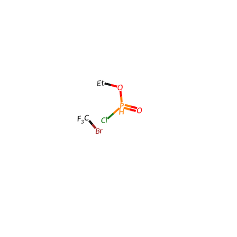 CCO[PH](=O)Cl.FC(F)(F)Br